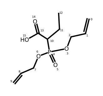 C=CCOP(=O)(OCC=C)C(CC)C(=O)O